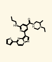 CCCNc1cc(C(=O)NCC(C)N(CC)CC)cc(-c2cnn3ccc(-c4cccs4)nc23)n1